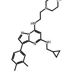 Cc1ccc(-c2cnn3c(NCCN4CCPCC4)cc(NCC4CC4)nc23)cc1C